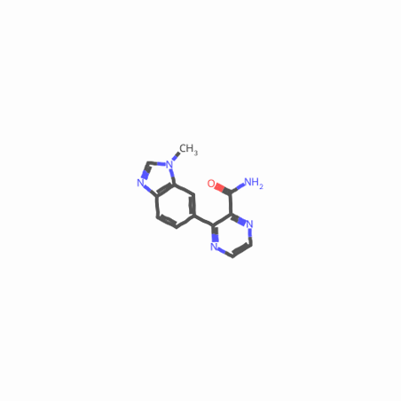 Cn1cnc2ccc(-c3nccnc3C(N)=O)cc21